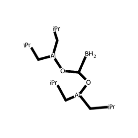 BC([O][Al]([CH2]C(C)C)[CH2]C(C)C)[O][Al]([CH2]C(C)C)[CH2]C(C)C